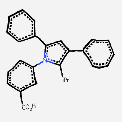 CC(C)c1c(-c2ccccc2)cc(-c2ccccc2)n1-c1cccc(C(=O)O)c1